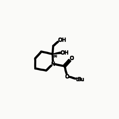 CC(C)(C)OC(=O)N1CCCC[C@]1(O)CO